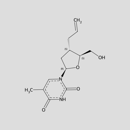 C=CC[C@H]1C[C@H](n2cc(C)c(=O)[nH]c2=O)O[C@@H]1CO